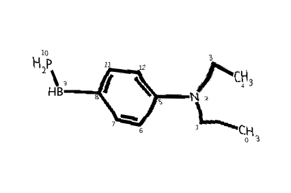 CCN(CC)c1ccc(BP)cc1